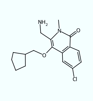 Cn1c(CN)c(OCC2CCCC2)c2cc(Cl)ccc2c1=O